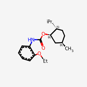 CCOc1ccccc1NC(=O)O[C@@H]1C[C@H](C)CC[C@H]1C(C)C